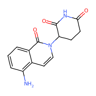 Nc1cccc2c(=O)n(C3CCC(=O)NC3=O)ccc12